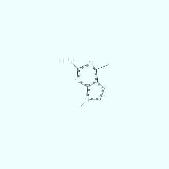 Cc1nc(N)nc2c1ccn2C